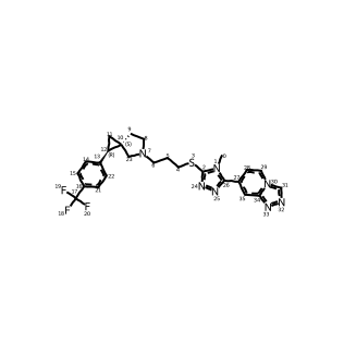 Cn1c(SCCCN2CC[C@]3(C[C@@H]3c3ccc(C(F)(F)F)cc3)C2)nnc1-c1ccn2cnnc2c1